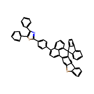 c1ccc(-c2nc(-c3ccc(-c4ccc5c6c(cccc46)C4(c6ccccc6-c6ccccc64)c4cc6c(cc4-5)sc4ccccc46)cc3)sc2-c2ccccc2)cc1